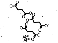 O=C([O-])CCC(=O)[O-].O=C([O-])CCC(=O)[O-].O=C([O-])CCC(=O)[O-].[Al+3].[Al+3]